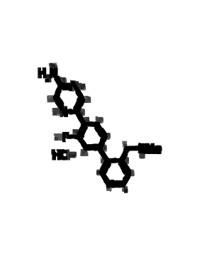 CSCc1ccccc1-c1ccc(-c2cnc(N)cn2)c(F)c1.Cl